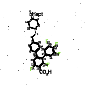 CCCCCCC[C@H]1CC[C@H](CCc2ccc(-c3cc(F)c(C(=O)O)c(F)c3-c3cc(F)c(F)c(F)c3)cc2)CC1